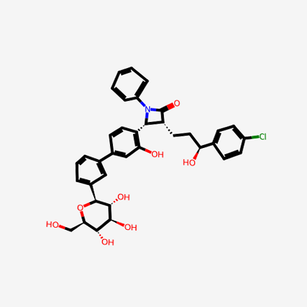 O=C1[C@H](CC[C@H](O)c2ccc(Cl)cc2)[C@H](c2ccc(-c3cccc([C@@H]4O[C@H](CO)[C@@H](O)[C@H](O)[C@H]4O)c3)cc2O)N1c1ccccc1